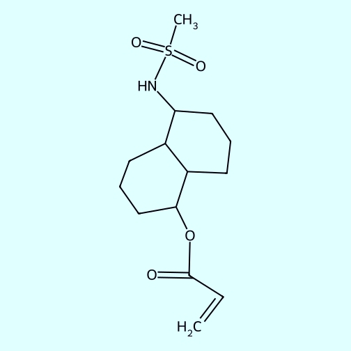 C=CC(=O)OC1CCCC2C(NS(C)(=O)=O)CCCC12